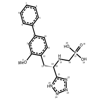 COc1cc(-c2ccccc2)ccc1C[C@H](NCP(=O)(O)O)c1nnn[nH]1